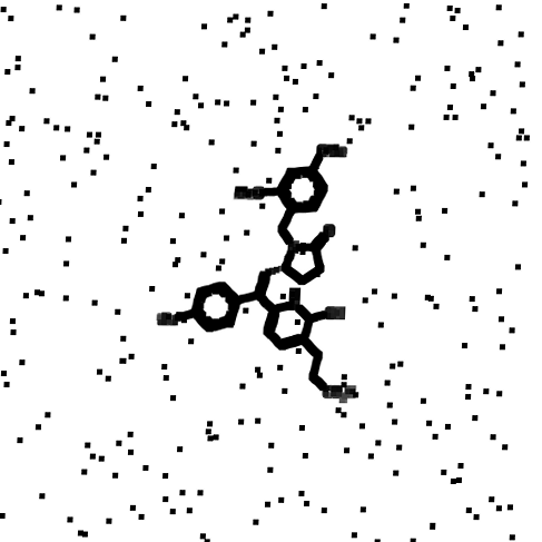 COc1ccc(CN2C(=O)CC[C@@H]2/C=C(\C2=CC=C(CCC(=O)O)C(O)N2)c2ccc(C(C)(C)C)cc2)c(OC)c1